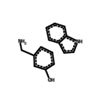 NCc1cccc(O)c1.c1ccc2[nH]ccc2c1